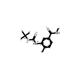 CNC(=O)c1ccc(C)c(NC(=O)OC(C)(C)C)c1